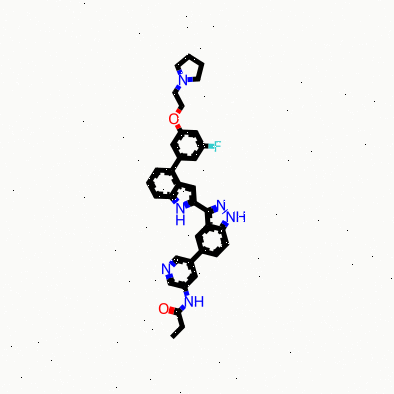 CCC(=O)Nc1cncc(-c2ccc3[nH]nc(-c4cc5c(-c6cc(F)cc(OCCN7CCCC7)c6)cccc5[nH]4)c3c2)c1